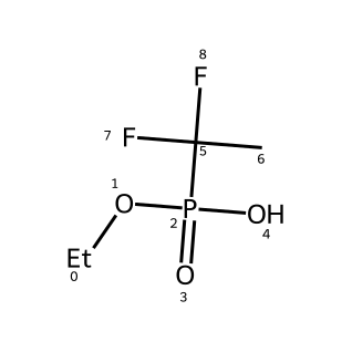 CCOP(=O)(O)C(C)(F)F